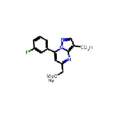 COCc1cc(-c2cccc(F)c2)n2ncc(C(=O)O)c2n1.[Na]